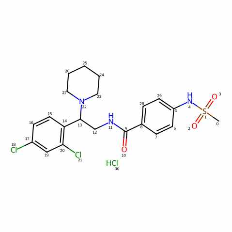 CS(=O)(=O)Nc1ccc(C(=O)NCC(c2ccc(Cl)cc2Cl)N2CCCCC2)cc1.Cl